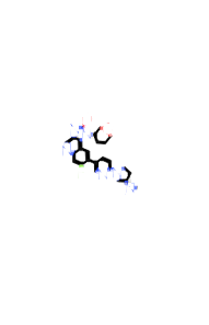 CN(C)[C@H]1CCN(c2ccc(-c3cc4c(cc3F)ncc3c4n([C@H]4CCCOC4)c(=O)n3C)cn2)C1